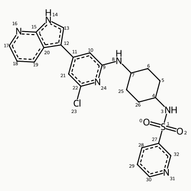 O=S(=O)(NC1CCC(Nc2cc(-c3c[nH]c4ncccc34)cc(Cl)n2)CC1)c1cccnc1